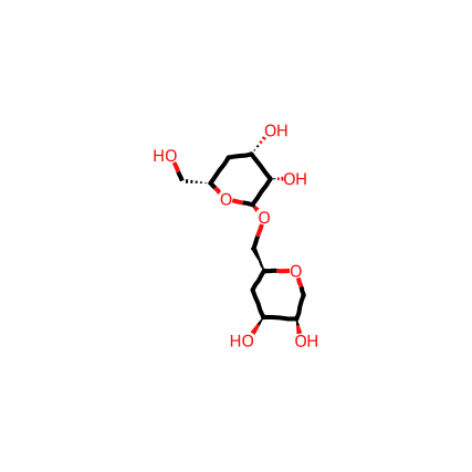 OC[C@@H]1C[C@H](O)[C@H](O)[C@@H](OC[C@@H]2C[C@H](O)[C@H](O)CO2)O1